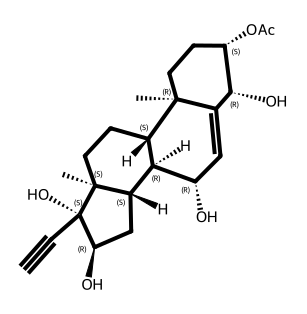 C#C[C@]1(O)[C@H](O)C[C@H]2[C@@H]3[C@@H](O)C=C4[C@@H](O)[C@@H](OC(C)=O)CC[C@]4(C)[C@H]3CC[C@@]21C